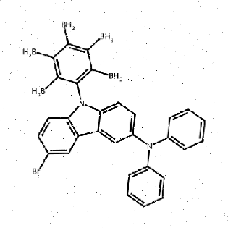 Bc1c(B)c(B)c(-n2c3ccc(Br)cc3c3cc(N(c4ccccc4)c4ccccc4)ccc32)c(B)c1B